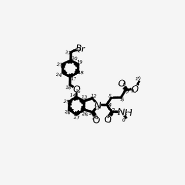 CNC(=O)C(CCC(=O)OC)N1Cc2c(OCc3ccc(CBr)cc3)cccc2C1=O